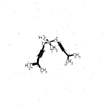 CC(C)C#CO[Si](C)(C)OC#CC(C)C